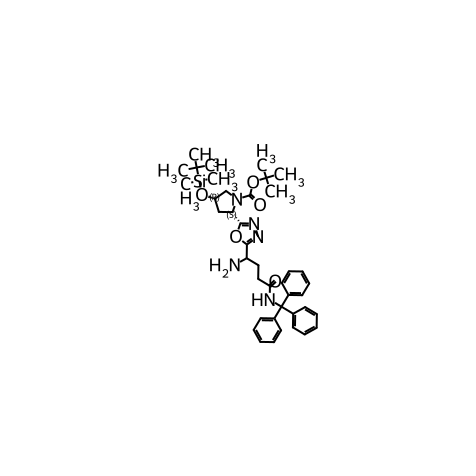 CC(C)(C)OC(=O)N1C[C@H](O[Si](C)(C)C(C)(C)C)C[C@H]1c1nnc(C(N)CCC(=O)NC(c2ccccc2)(c2ccccc2)c2ccccc2)o1